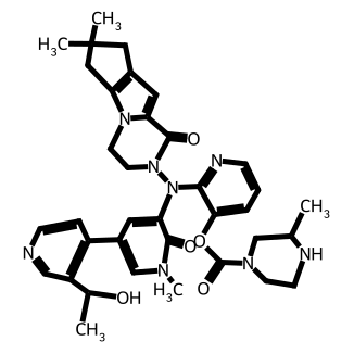 CC1CN(C(=O)Oc2cccnc2N(c2cc(-c3ccncc3C(C)O)cn(C)c2=O)N2CCn3c(cc4c3CC(C)(C)C4)C2=O)CCN1